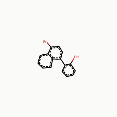 Oc1ccccc1-c1ccc(Br)c2ccccc12